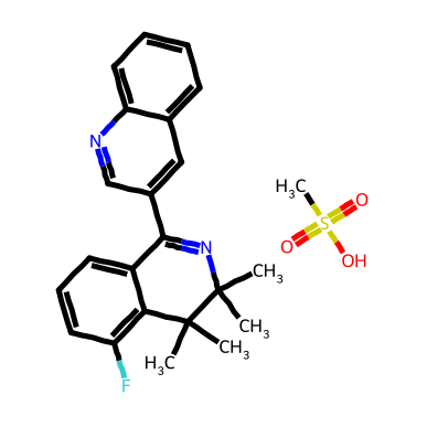 CC1(C)N=C(c2cnc3ccccc3c2)c2cccc(F)c2C1(C)C.CS(=O)(=O)O